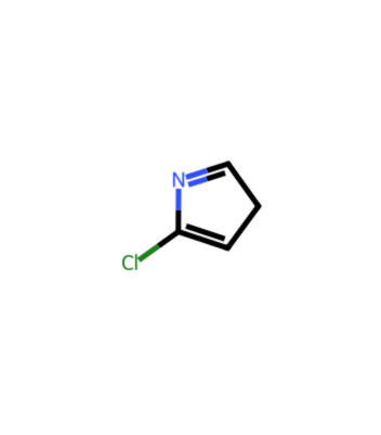 ClC1=CCC=N1